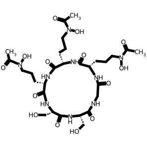 CC(=O)N(O)CCC[C@@H]1NC(=O)CNC(=O)[C@H](CO)NC(=O)[C@H](CO)NC(=O)[C@H](CCCN(O)C(C)=O)NC(=O)[C@H](CCCN(O)C(C)=O)NC1=O